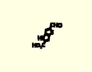 O=Cc1cc2[nH]c(C(=O)O)cc2s1